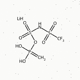 C=P(O)(O)OS(=O)(=O)NS(=O)(=O)C(F)(F)F.[LiH]